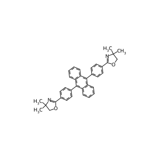 CC1(C)COC(c2ccc(-c3c4ccccc4c(-c4ccc(C5=NC(C)(C)CO5)cc4)c4ccccc34)cc2)=N1